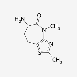 Cc1nc2c(s1)CCC(N)C(=O)N2C